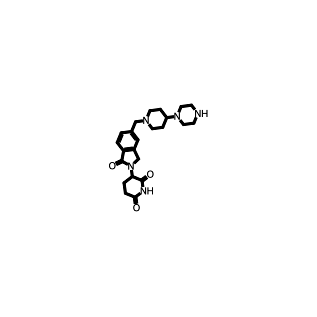 O=C1CCC(N2Cc3cc(CN4CCC(N5CCNCC5)CC4)ccc3C2=O)C(=O)N1